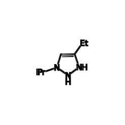 CCC1=CN(C(C)C)NN1